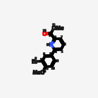 CCc1cc(-c2cccc(C(=O)OC)n2)ccc1OC